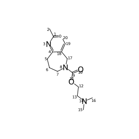 C=C(C)/N=C1/CCCN(C(=O)OCCN(C)C)C/C1=C/C